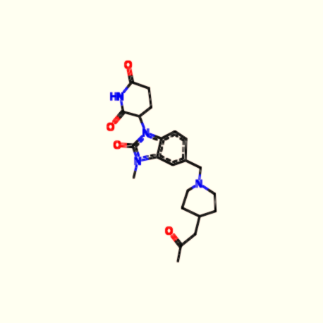 CC(=O)CC1CCN(Cc2ccc3c(c2)n(C)c(=O)n3C2CCC(=O)NC2=O)CC1